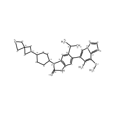 COc1c(C)c(-c2cc3[nH]c(=O)n(C4CCC(N5CC6(COC6)C5)CC4)c3cc2C(C)C)cn2ncnc12